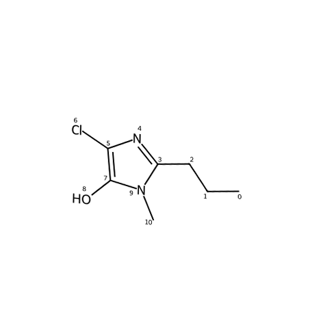 CCCc1nc(Cl)c(O)n1C